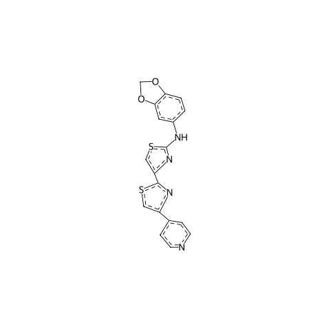 c1cc(-c2csc(-c3csc(Nc4ccc5c(c4)OCO5)n3)n2)ccn1